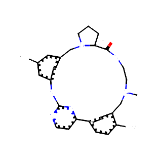 COc1ccc2cc1CN(C)CCNC(=O)[C@@H]1CCCN1Cc1cc(C#N)cc(c1)Nc1nccc-2n1